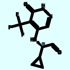 O=C[C@@H](Nc1cn[nH]c(=O)c1C(F)(F)F)C1CC1